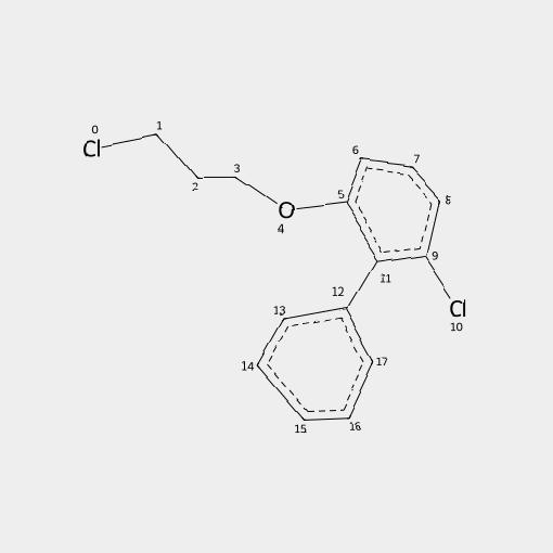 ClCCCOc1cccc(Cl)c1-c1ccccc1